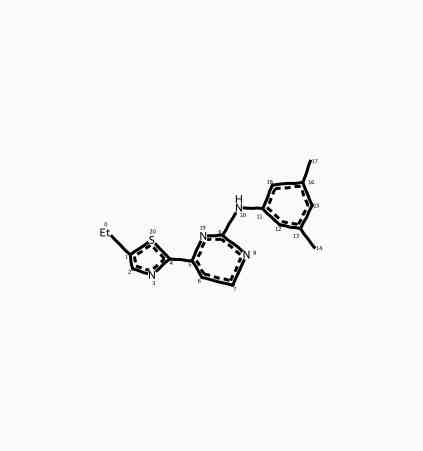 CCc1cnc(-c2ccnc(Nc3cc(C)cc(C)c3)n2)s1